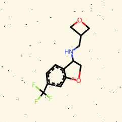 FC(F)(F)c1ccc2c(c1)OCC2NCC1COC1